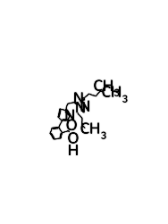 CCCCn1nc(CCC(C)C)nc1Cc1ccc(-c2ccccc2C(=O)O)cn1